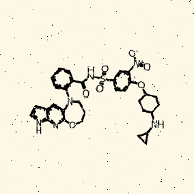 O=C(NS(=O)(=O)c1ccc(OC2CCC(NC3CC3)CC2)c([N+](=O)[O-])c1)c1ccccc1N1CCCOc2nc3[nH]ccc3cc21